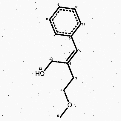 COCCC(=Cc1ccccc1)CO